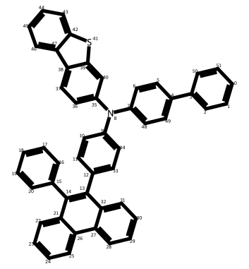 c1ccc(-c2ccc(N(c3ccc(-c4c(-c5ccccc5)c5ccccc5c5ccccc45)cc3)c3ccc4c(c3)sc3ccccc34)cc2)cc1